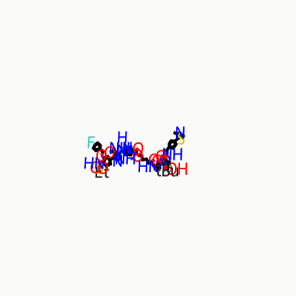 CCS(=O)(=O)Nc1ccc(-c2n[nH]c(Nc3ccc(C(=O)OCCCCC(=O)N[C@H](C(=O)N4C[C@H](O)C[C@H]4C(=O)NCc4ccc(-c5scnc5C)cc4)C(C)(C)C)cn3)c2C(N)=O)cc1OCc1ccc(F)cc1